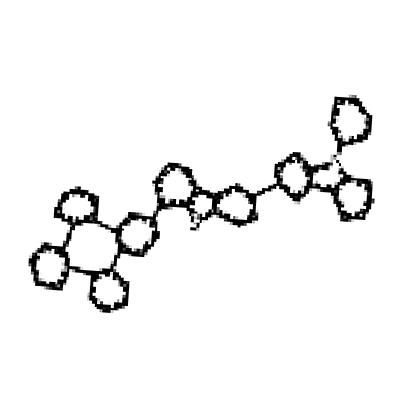 c1ccc(-n2c3ccccc3c3cc(-c4ccc5sc6c(-c7ccc8c(c7)-c7ccccc7-c7ccccc7-c7ccccc7-8)cccc6c5c4)ccc32)cc1